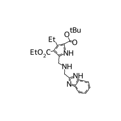 CCOC(=O)c1c(CNCc2nc3ccccc3[nH]2)[nH]c(C(=O)OC(C)(C)C)c1CC